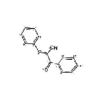 O=C(/C(O)=C/c1ccccc1)c1ccccc1